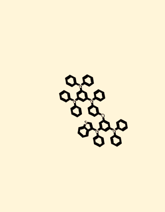 c1ccc(N(c2ccccc2)c2cc(N(c3ccccc3)c3ccccc3)cc(N(c3ccccc3)c3cccc(Oc4cc(N(c5ccccc5)c5ccccc5)cc(N(c5ccccc5)c5csc6ccccc56)c4)c3)c2)cc1